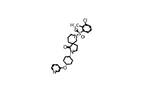 Cc1c(Cl)cccc1S(=O)(=O)N1CCCC2(CCN([C@H]3CC[C@@H](Oc4cccnc4)CC3)C2=O)C1